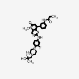 C=CC(=O)Nc1cccc(-c2cc(=O)n(C)c3cnc(Nc4ccc(N5CCN(CC(C)(C)O)CC5)c(F)c4)nc23)c1